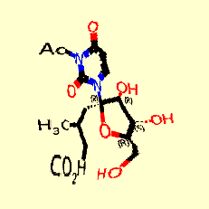 CC(=O)n1c(=O)ccn([C@]2(CC(C)CC(=O)O)O[C@H](CO)[C@@H](O)[C@H]2O)c1=O